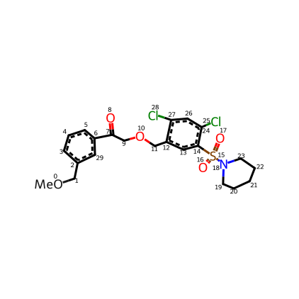 COCc1cccc(C(=O)COCc2cc(S(=O)(=O)N3CCCCC3)c(Cl)cc2Cl)c1